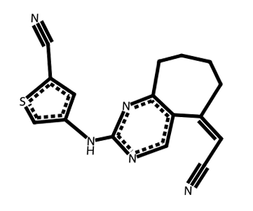 N#C/C=C1/CCCCc2nc(Nc3csc(C#N)c3)ncc21